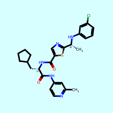 Cc1cc(NC(=O)[C@H](CC2CCCC2)NC(=O)c2cnc([C@@H](C)Nc3cccc(Cl)c3)s2)ccn1